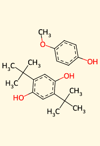 CC(C)(C)c1cc(O)c(C(C)(C)C)cc1O.COc1ccc(O)cc1